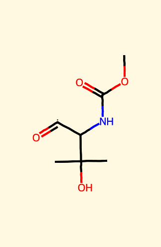 COC(=O)NC([C]=O)C(C)(C)O